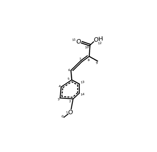 COc1ccc(C=C=C(C)C(=O)O)cc1